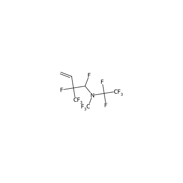 C=CC(F)(C(F)N(C(F)(F)F)C(F)(F)C(F)(F)F)C(F)(F)F